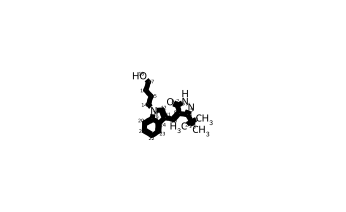 CC(C)(C)C1=NNC(=O)C1=Cc1cn(CCCCO)c2ccccc12